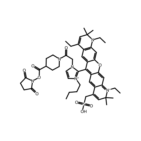 CCCC[n+]1ccn(CC(=O)N2CCC(C(=O)ON3C(=O)CCC3=O)CC2)c1C1=c2cc3c(cc2Oc2cc4c(cc21)C(CC)=CC(C)(C)N4CC)=[N+](CC)C(C)(C)C=C3CS(=O)(=O)O